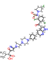 CC(C)C(C(=O)O)c1cc(N2CC(N3CCN(c4ccc(-c5cnc6[nH]cc(C(=O)c7c(F)ccc(N(N8CC[C@@H](F)C8)[SH](=O)=O)c7F)c6c5)cc4)CC3)C2)no1